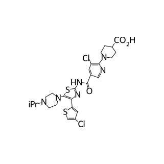 CC(C)N1CCN(c2sc(NC(=O)c3cnc(N4CCC(C(=O)O)CC4)c(Cl)c3)nc2-c2cc(Cl)cs2)CC1